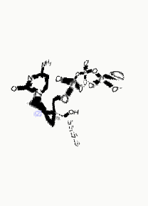 Nc1ccn(/C=C2/C[C@]2(CO)COP(=O)([O-])OP(=O)([O-])OP(=O)([O-])[O-])c(=O)n1.[Li+].[Li+].[Li+].[Li+]